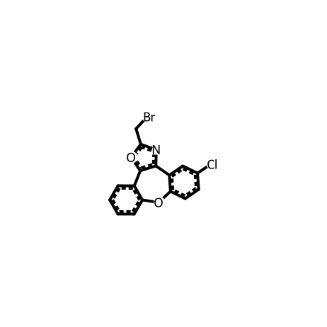 Clc1ccc2c(c1)-c1nc(CBr)oc1-c1ccccc1O2